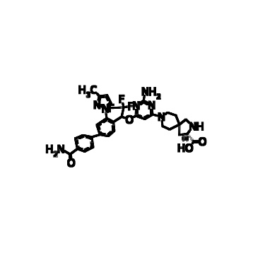 Cc1ccn(-c2cc(-c3ccc(C(N)=O)cc3)ccc2C(Oc2cc(N3CCC4(CC3)CN[C@H](C(=O)O)C4)nc(N)n2)C(F)(F)F)n1